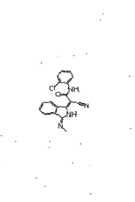 CN=C1NC(=C(C#N)C(=O)Nc2ccccc2Cl)c2ccccc21